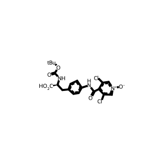 CC(C)(C)OC(=O)N[C@@H](Cc1ccc(NC(=O)c2c(Cl)c[n+]([O-])cc2Cl)cc1)C(=O)O